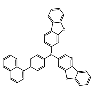 c1ccc2c(-c3ccc(N(c4ccc5c(c4)oc4ccccc45)c4cnc5c(c4)sc4ccccc45)cc3)cccc2c1